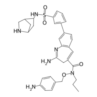 CCCN(OCc1ccc(N)cc1)C(=O)C1=Cc2ccc(-c3cccc(S(=O)(=O)NC4CC5CC4CN5)c3)cc2N=C(N)C1